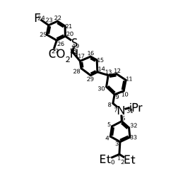 CCC(CC)c1ccc(N(Cc2cccc(-c3ccc(CSc4ccc(F)cc4C(=O)O)cc3)c2)C(C)C)cc1